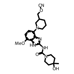 COc1ccc(N2CCCC(COC#N)C2)c2nc(NC(=O)N3CCC(C)(O)CC3)[nH]c12